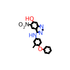 Cc1cc(Nc2ncnc3cc(O)c([N+](=O)[O-])cc23)ccc1Oc1ccccc1